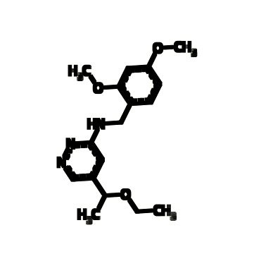 CCOC(C)c1cnnc(NCc2ccc(OC)cc2OC)c1